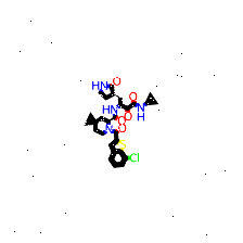 O=C(NC1CC1)C(=O)C(C[C@@H]1CCNC1=O)NC(=O)[C@@H]1CC2(CCN1C(=O)c1cc3cccc(Cl)c3s1)CC2